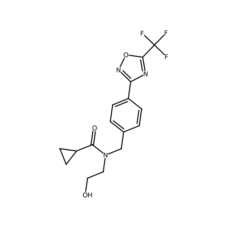 O=C(C1CC1)N(CCO)Cc1ccc(-c2noc(C(F)(F)F)n2)cc1